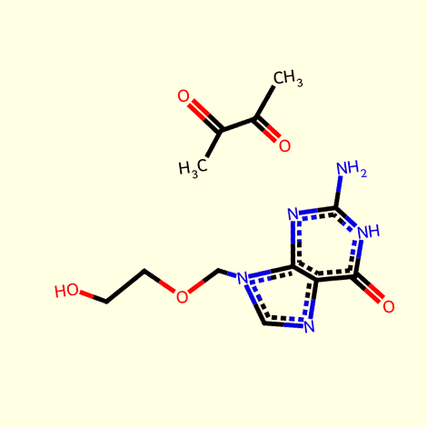 CC(=O)C(C)=O.Nc1nc2c(ncn2COCCO)c(=O)[nH]1